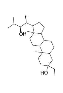 CCC1(O)CCC2(C)C(CCC3C2CCC2(C)C3CCC2[C@H](C)[C@@H](O)C(C)C)C1